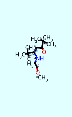 COCCN/C(=C\C(=O)C(C)(C)C)C(C)(C)C